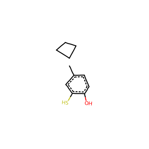 C1CCC1.Cc1ccc(O)c(S)c1